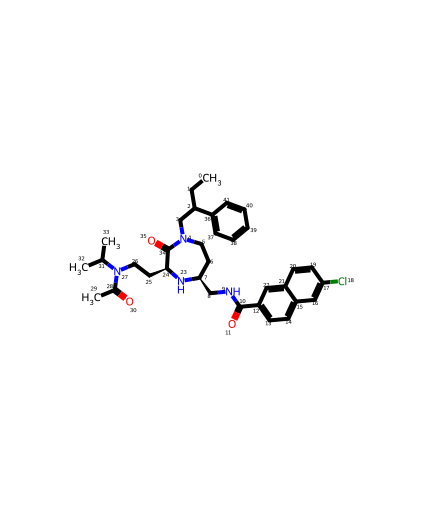 CCC(CN1CC[C@@H](CNC(=O)c2ccc3cc(Cl)ccc3c2)N[C@@H](CCN(C(C)=O)C(C)C)C1=O)c1ccccc1